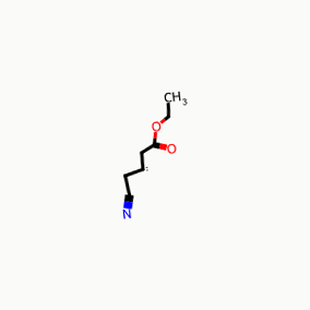 CCOC(=O)C[C]CC#N